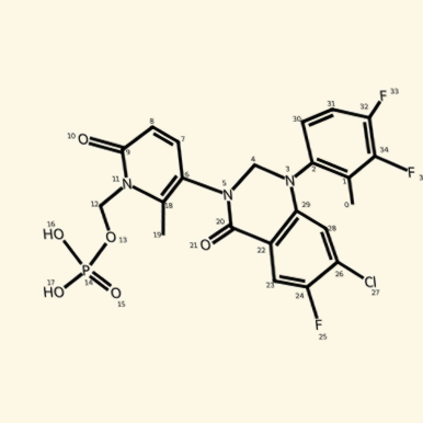 Cc1c(N2CN(c3ccc(=O)n(COP(=O)(O)O)c3C)C(=O)c3cc(F)c(Cl)cc32)ccc(F)c1F